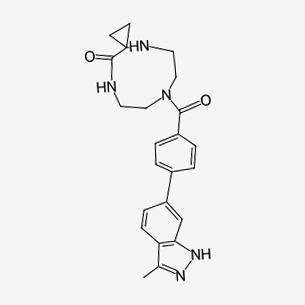 Cc1n[nH]c2cc(-c3ccc(C(=O)N4CCNC(=O)C5(CC5)NCC4)cc3)ccc12